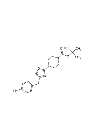 CC(C)(C)OC(=O)N1CCC(c2nc(Cc3ccc(Cl)cc3)no2)CC1